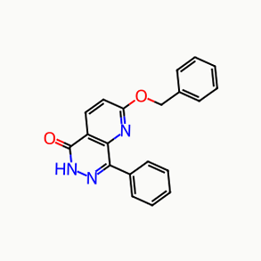 O=c1[nH]nc(-c2ccccc2)c2nc(OCc3ccccc3)ccc12